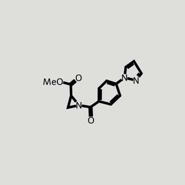 COC(=O)C1CN1C(=O)c1ccc(-n2cccn2)cc1